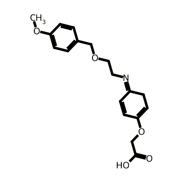 COc1ccc(COCCN=C2C=CC(OCC(=O)O)=CC2)cc1